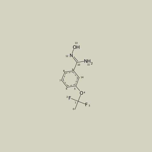 CC(F)(F)Oc1cccc(/C(N)=N/O)c1